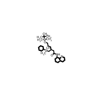 CC(C)(C)[Si](C)(C)OCCCC(CC(=O)Nc1cccc2cccnc12)C[Si](C)(C)c1ccccc1